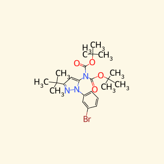 CC(C)(C)OC(=O)N(C(=O)OC(C)(C)C)c1cc(C(C)(C)C)nn1-c1cccc(Br)c1